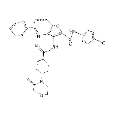 O=C(Nc1ccc(Cl)cn1)c1oc2ccc(-c3ccccn3)nc2c1NC(=O)[C@H]1CC[C@H](N2CCOCC2=O)CC1